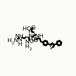 N=C(N)NCCC[C@H](NC(=O)[C@H](CCC(=O)O)NC(=O)CCc1ccc(-c2cc(-c3ccccc3)cs2)cc1)C(N)=O